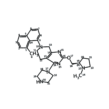 Cc1cccc2cccc(N3CCc4c(nc(OC[C@H]5CCCN5C)nc4N4CCNCC4)C3)c12